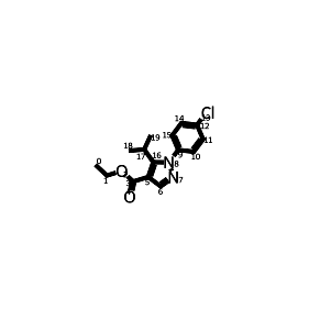 CCOC(=O)c1cnn(-c2ccc(Cl)cc2)c1C(C)C